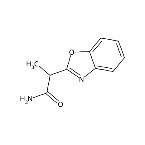 CC(C(N)=O)c1nc2ccccc2o1